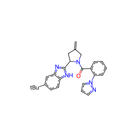 C=C1CC(c2nc3cc(C(C)(C)C)ccc3[nH]2)N(C(=O)c2ccccc2-n2cccn2)C1